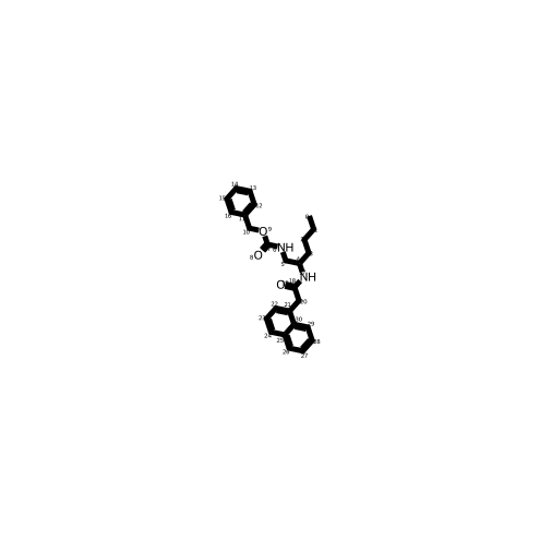 CCCCC(CNC(=O)OCc1ccccc1)NC(=O)Cc1cccc2ccccc12